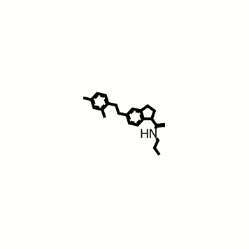 C=C(NCCC)C1CCc2cc(CCc3ccc(C)cc3C)ccc21